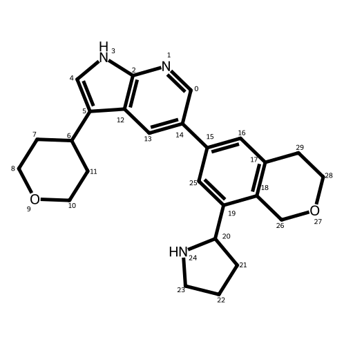 c1nc2[nH]cc(C3CCOCC3)c2cc1-c1cc2c(c(C3CCCN3)c1)COCC2